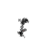 CC(C)(C)[Si](C)(C)O[C@@H](CN(CCc1ccc(-c2ccc(C(=O)NS(=O)(=O)CC(N)=O)c(OC3CCCCC3)c2)cc1)C(=O)O)c1cccnc1